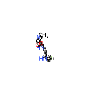 Cc1ccc2c3c(ccc2n1)OCC(CNCCCCCc1c[nH]c2ccc(F)cc12)O3